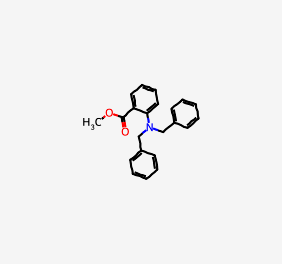 COC(=O)c1ccccc1N(Cc1ccccc1)Cc1ccccc1